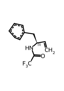 C=C[C@H](Cc1ccccc1)NC(=O)C(F)(F)F